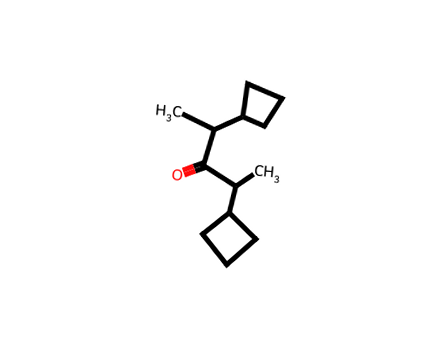 CC(C(=O)C(C)C1CCC1)C1CCC1